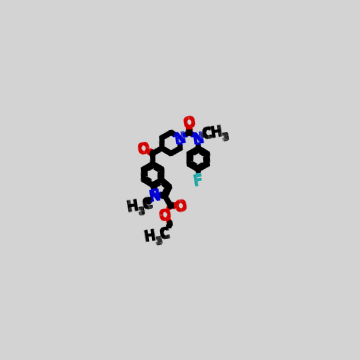 CCOC(=O)c1cc2cc(C(=O)C3CCN(C(=O)N(C)c4ccc(F)cc4)CC3)ccc2n1C